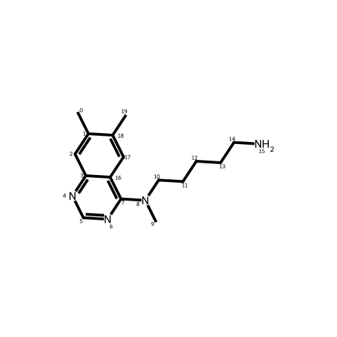 Cc1cc2ncnc(N(C)CCCCCN)c2cc1C